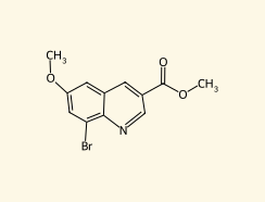 COC(=O)c1cnc2c(Br)cc(OC)cc2c1